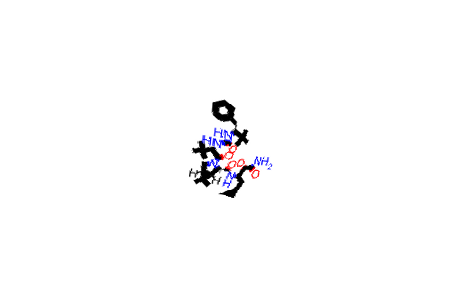 CC(C)(C)[C@H](NC(=O)N[C@H](Cc1ccccc1)C(C)(C)C)C(=O)N1C[C@H]2[C@@H]([C@H]1C(=O)NC(CC1CC1)C(=O)C(N)=O)C2(C)C